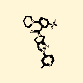 Cc1cc(-n2cc3c(n2)CN(C(=O)c2cc(S(C)(=O)=O)ccc2N2CCCCC2)C3)ccn1